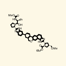 COC[C@H]1C[C@@H](c2nc3ccc4cc5c(cc4c3[nH]2)OCC2=C5C=CC(c3ccc4nc([C@@H]5CCCN5C(O)[C@@H](NC(=O)OC)C(C)C)[nH]c4c3)C2)N(C(=O)OC(C)(C)C)C1